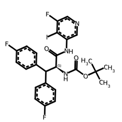 CC(C)(C)OC(=O)N[C@H](C(=O)Nc1cncc(F)c1I)C(c1ccc(F)cc1)c1ccc(F)cc1